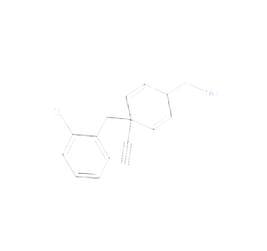 C#CC1(Cc2ccccc2Cl)C=CC(CN)C=C1